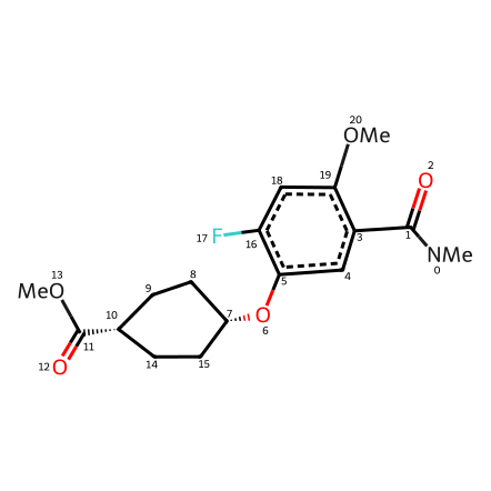 CNC(=O)c1cc(O[C@H]2CC[C@@H](C(=O)OC)CC2)c(F)cc1OC